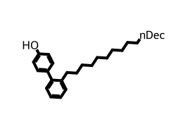 CCCCCCCCCCCCCCCCCCCCc1ccccc1-c1ccc(O)cc1